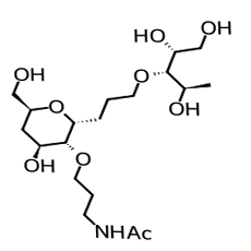 CC(=O)NCCCO[C@@H]1[C@@H](O)C[C@@H](CO)O[C@@H]1CCCO[C@H]([C@H](O)CO)[C@@H](C)O